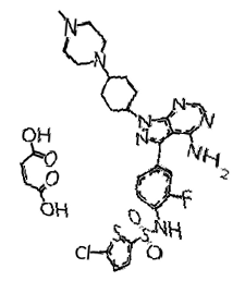 CN1CCN(C2CCC(n3nc(-c4ccc(NS(=O)(=O)c5ccc(Cl)s5)c(F)c4)c4c(N)ncnc43)CC2)CC1.O=C(O)/C=C\C(=O)O